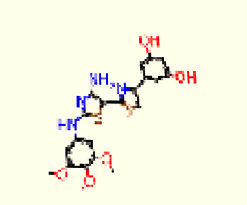 COc1cc(Nc2nc(N)c(-c3nc(-c4cc(O)cc(O)c4)cs3)s2)cc(OC)c1OC